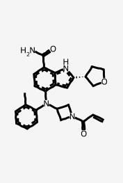 C=CC(=O)N1CC(N(c2ccccc2C)c2ccc(C(N)=O)c3[nH]c([C@@H]4CCOC4)cc23)C1